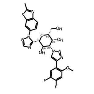 COc1cc(F)c(F)cc1-c1cn([C@H]2[C@@H](O)[C@@H](CO)O[C@@H](c3ncnn3-c3ccc4nc(C)sc4c3)[C@@H]2O)nn1